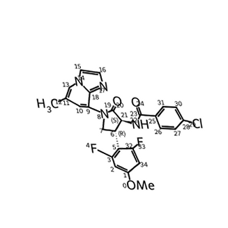 COc1cc(F)c([C@@H]2CN(c3cc(C)cn4ccnc34)C(=O)[C@H]2NC(=O)c2ccc(Cl)cc2)c(F)c1